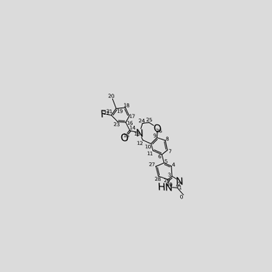 Cc1nc2cc(-c3ccc4c(c3)CN(C(=O)c3ccc(C)c(F)c3)CCO4)ccc2[nH]1